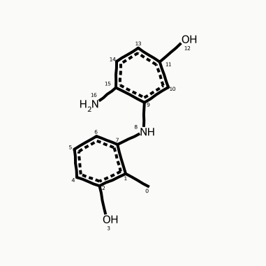 Cc1c(O)cccc1Nc1cc(O)ccc1N